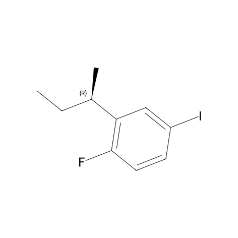 CC[C@@H](C)c1cc(I)ccc1F